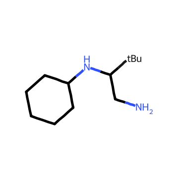 CC(C)(C)C(CN)NC1CCCCC1